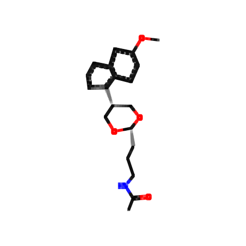 COc1ccc2c(cccc2[C@H]2CO[C@@H](CCCNC(C)=O)OC2)c1